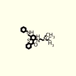 CCN(CC)CCNc1ccc(CNc2ccccc2)c2sc3ccccc3c(=O)c12